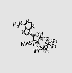 CSC1[C@H]2O[Si](C(C)C)(C(C)C)O[Si](C(C)C)(C(C)C)OC[C@H]2O[C@H]1n1cnc2c(N)ncnc21